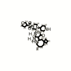 NC(N)C(C(=O)NC1CNCCC1N1CCN(S(=O)(=O)C2CCOC2)CC1)C1CC2(CCC2)CCC(F)CN1